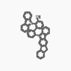 N#Cc1cccc(-c2ccccc2-n2c3ccccc3c3cc4c(cc32)-c2ccccc2C4)c1-n1c2ccccc2c2ccccc21